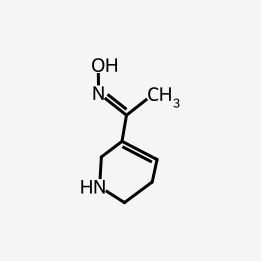 CC(=NO)C1=CCCNC1